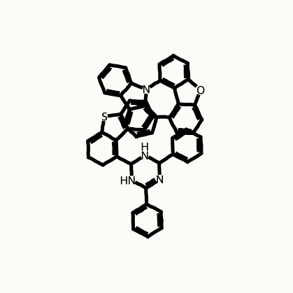 C1=c2sc3ccc(-c4cccc5oc6cccc(-n7c8ccccc8c8ccccc87)c6c45)cc3c2=C(C2NC(c3ccccc3)=NC(c3ccccc3)N2)CC1